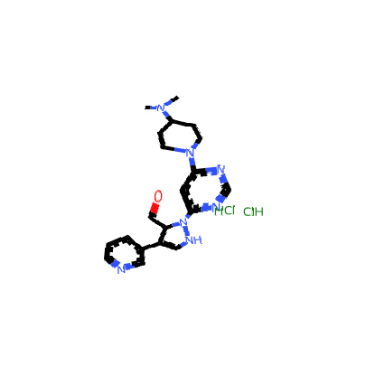 CN(C)C1CCN(c2cc(N3NC=C(c4cccnc4)C3C=O)ncn2)CC1.Cl.Cl